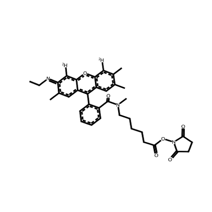 [2H]c1c2oc3c([2H])c(C)c(C)cc3c(-c3ccccc3C(=O)N(C)CCCCCC(=O)ON3C(=O)CCC3=O)c-2cc(C)/c1=N\CC